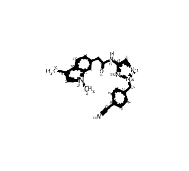 Cc1cn(C)c2cc(CC(=O)Nc3cnn(Cc4ccc(C#N)cc4)n3)ccc12